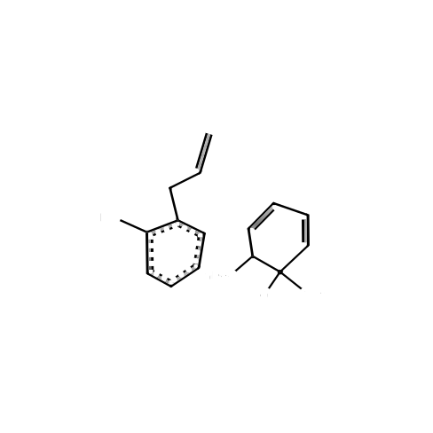 C=CCc1ccccc1O.CCCCCCCCCCC1C=CC=CC1(O)CCCCCCCCCC